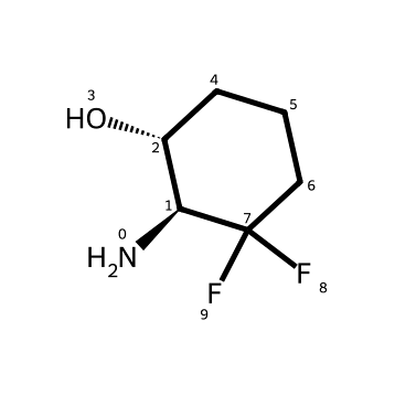 N[C@H]1[C@H](O)CCCC1(F)F